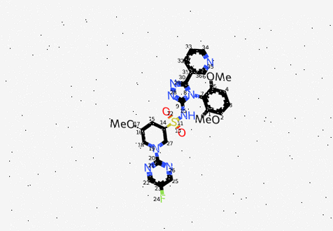 COc1cccc(OC)c1-n1c(NS(=O)(=O)[C@@H]2C[C@@H](OC)CN(c3ncc(F)cn3)C2)nnc1-c1cccnc1